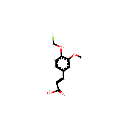 COc1cc(/C=C/C(=O)O)ccc1OCF